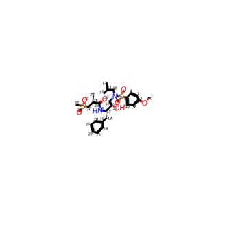 COc1ccc(S(=O)(=O)N(CC(C)C)C[C@@H](O)[C@H](Cc2ccccc2)NC(=O)[C@H](C)CS(C)(=O)=O)cc1